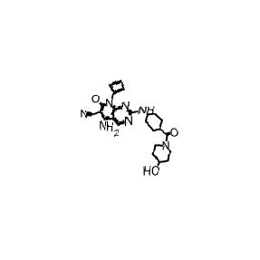 N#Cc1c(N)c2cnc(NC3CCC(C(=O)N4CCC(O)CC4)CC3)nc2n(C2=CC=C2)c1=O